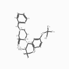 CC1(C)Oc2ccc(OC(F)(F)F)cc2[C@@H](N2CCN(Cc3ccccc3)CC2=O)[C@@H]1O